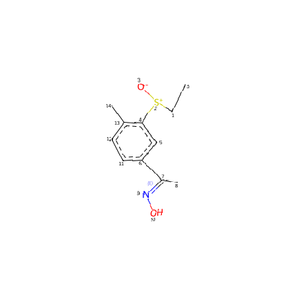 CC[S+]([O-])c1cc(/C(C)=N/O)ccc1C